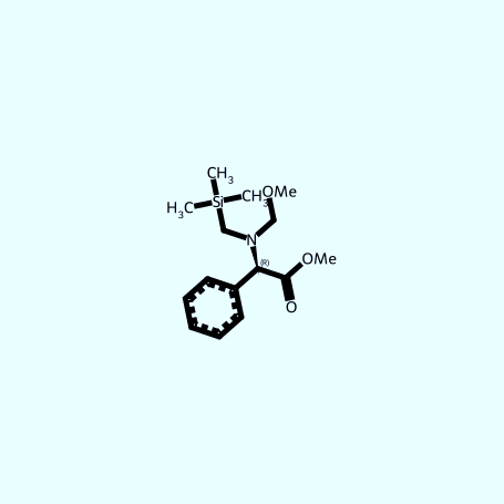 COCN(C[Si](C)(C)C)[C@@H](C(=O)OC)c1ccccc1